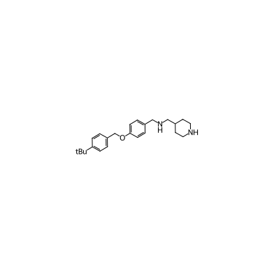 CC(C)(C)c1ccc(COc2ccc(CNCC3CCNCC3)cc2)cc1